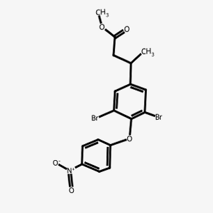 COC(=O)CC(C)c1cc(Br)c(Oc2ccc([N+](=O)[O-])cc2)c(Br)c1